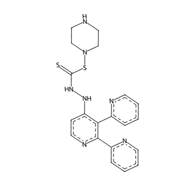 S=C(NNc1ccnc(-c2ccccn2)c1-c1ccccn1)SN1CCNCC1